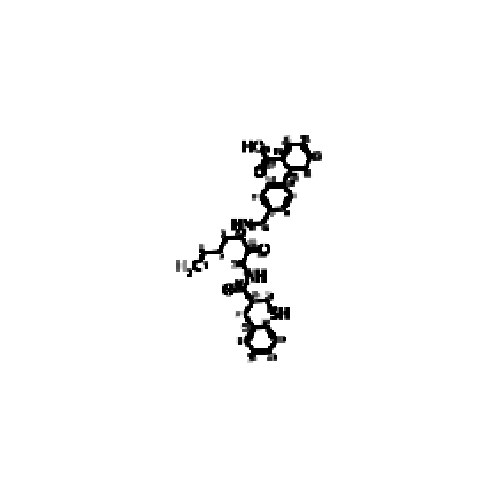 CCCCC(NCc1ccc(-c2ccccc2C(=O)O)cc1)C(=O)CNC(=O)C(CS)Cc1ccccc1